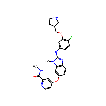 CNC(=O)c1cc(Oc2ccc3nc(Nc4ccc(Cl)c(OCC5CCNC5)c4)n(C)c3c2)ccn1